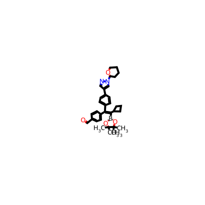 CC1(C)OB(/C(=C(\c2ccc(C=O)cc2)c2ccc(-c3cnn(C4CCCCO4)c3)cc2)C2CCC2)OC1(C)C